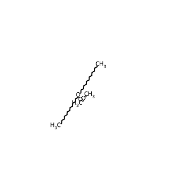 CCCCCCCCCCCCCCOC(=O)CCCCCCCCCCCCC.CCOCC